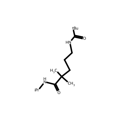 CC(C)NC(=O)C(C)(C)CCCNC(=O)C(C)(C)C